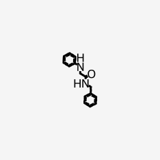 O=C(CNc1ccccc1)NCc1ccccc1